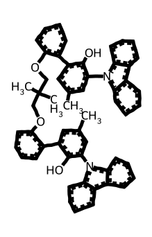 Cc1cc(-c2ccccc2OCC(C)(C)COc2ccccc2-c2cc(C)cc(-n3c4ccccc4c4ccccc43)c2O)c(O)c(-n2c3ccccc3c3ccccc32)c1